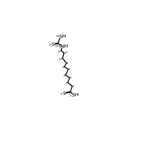 S=C(S)CCCCCCCCCCNC(=S)S